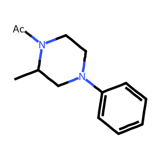 CC(=O)N1CCN(c2ccccc2)CC1C